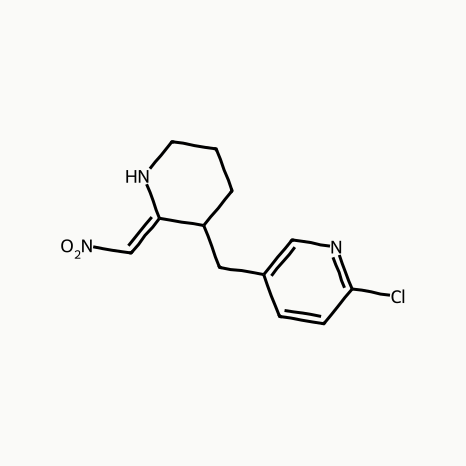 O=[N+]([O-])C=C1NCCCC1Cc1ccc(Cl)nc1